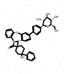 O=C1N(c2ccccc2)[C@H](c2ccc(-c3ccc([C@@H]4O[C@H](CO)[C@@H](O)[C@H](O)[C@H]4O)cc3)cc2O)C12CCC(O)(c1ccccc1)CC2